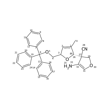 CC1=CC(COC(c2ccccc2)(c2ccccc2)c2ccccc2)O[C@H]1C1(C#N)COC=C1N